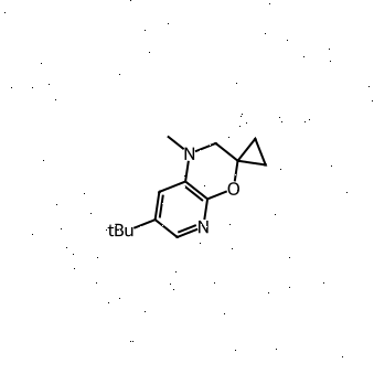 CN1CC2(CC2)Oc2ncc(C(C)(C)C)cc21